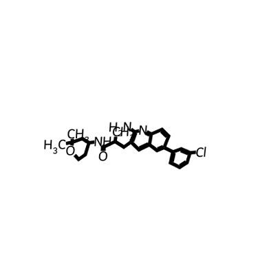 CC(Cc1cc2cc(-c3cccc(Cl)c3)ccc2nc1N)C(=O)NC1CCOC(C)(C)C1